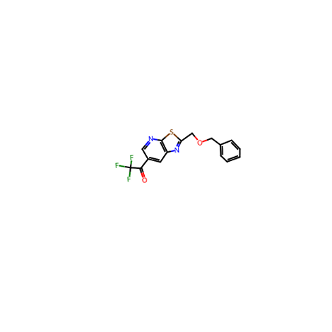 O=C(c1cnc2sc(COCc3ccccc3)nc2c1)C(F)(F)F